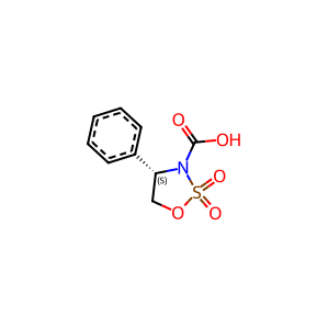 O=C(O)N1[C@@H](c2ccccc2)COS1(=O)=O